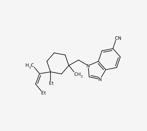 CC/C=C(/C)C1(CC)CCCC(C)(Cn2cnc3ccc(C#N)cc32)C1